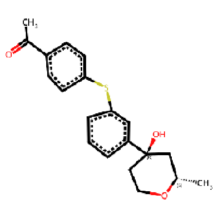 CC(=O)c1ccc(Sc2cccc([C@@]3(O)CCO[C@@H](C)C3)c2)cc1